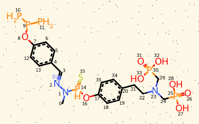 CN(/N=C/c1ccc(OP(P)P)cc1)[PH](=S)Oc1ccc(CCN(CP(=O)(O)O)CP(=O)(O)O)cc1